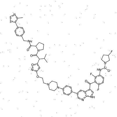 Cc1ncsc1-c1ccc(CNC(=O)C2CCCN2C(=O)C(c2cc(OCCN3CCN(c4ccc(-c5cnc6[nH]cc(C(=O)c7c(F)ccc(N[S+]([O-])N8CCC(F)C8)c7F)c6c5)cc4)CC3)no2)C(C)C)cc1